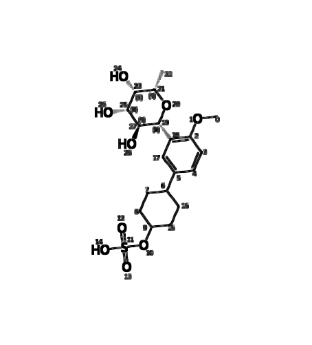 COc1ccc(C2CCC(OS(=O)(=O)O)CC2)cc1[C@H]1O[C@@H](C)[C@@H](O)[C@@H](O)[C@@H]1O